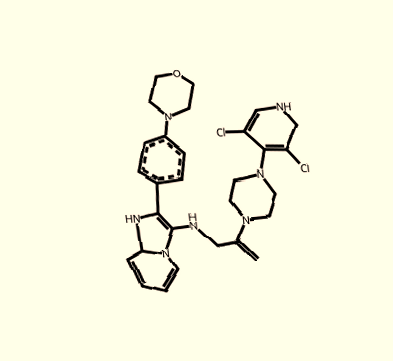 C=C(CNC1=C(c2ccc(N3CCOCC3)cc2)NC2C=CC=CN12)N1CCN(C2=C(Cl)CNC=C2Cl)CC1